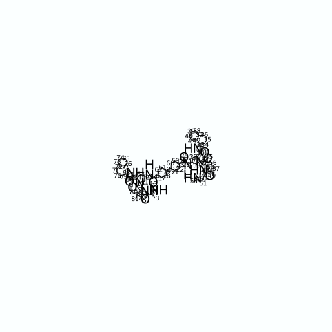 CN[C@@H](C)C(=O)N[C@H](C(=O)N1C[C@@H](NC(=O)c2ccc(-c3ccc(C(=O)N[C@H]4C[C@@H](C(=O)N[C@@H]5CCCc6ccccc65)N(C(=O)[C@@H](NC(=O)[C@H](C)NC)C(C)(C)C)C4)cc3)cc2)C[C@H]1C(=O)N[C@@H]1CCCc2ccccc21)C(C)(C)C